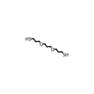 SCCCOCCCOCCCS